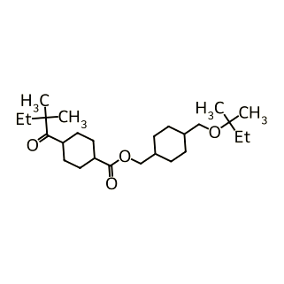 CCC(C)(C)OCC1CCC(COC(=O)C2CCC(C(=O)C(C)(C)CC)CC2)CC1